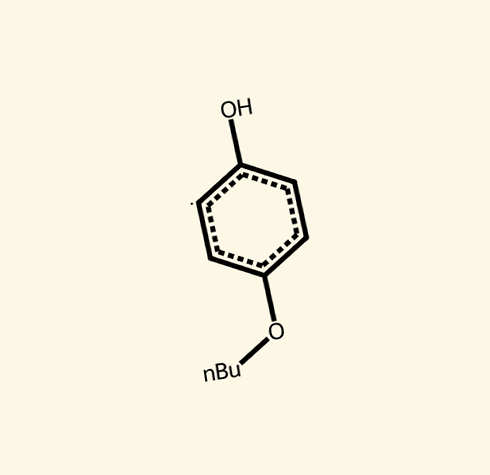 CCCCOc1c[c]c(O)cc1